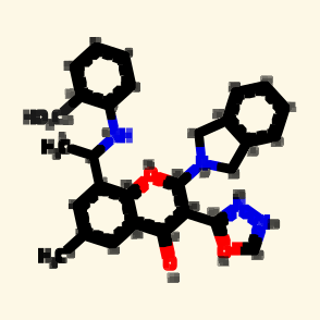 Cc1cc(C(C)Nc2ccccc2C(=O)O)c2oc(N3Cc4ccccc4C3)c(-c3nnco3)c(=O)c2c1